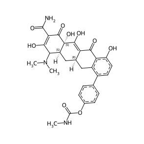 CNC(=O)Oc1ccc(-c2ccc(O)c3c2C[C@H]2C[C@H]4C(N(C)C)C(O)=C(C(N)=O)C(=O)[C@@]4(O)C(O)=C2C3=O)cc1